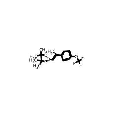 CC(=CB1OC(C)(C)C(C)(C)O1)c1ccc(OC(F)(F)F)cc1